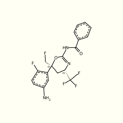 Nc1ccc(F)c([C@]2(CF)C[C@@H](C(F)(F)F)N=C(NC(=O)c3ccccc3)O2)c1